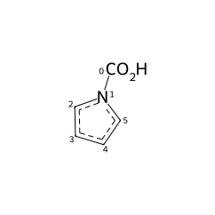 O=C(O)n1cccc1